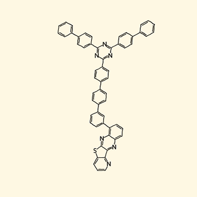 c1ccc(-c2ccc(-c3nc(-c4ccc(-c5ccccc5)cc4)nc(-c4ccc(-c5ccc(-c6cccc(-c7cccc8nc9c(nc78)sc7cccnc79)c6)cc5)cc4)n3)cc2)cc1